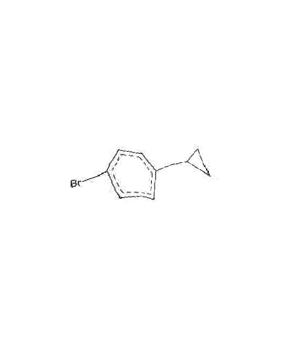 Brc1ccc(C2[CH]C2)cc1